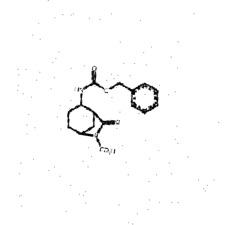 O=C(NC1CCC2CC1C(=O)N2C(=O)O)OCc1ccccc1